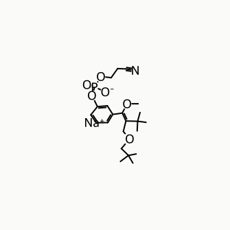 COC(=C(COCC(C)(C)C)C(C)(C)C)c1cccc(OP(=O)([O-])OCCC#N)c1.[Na+]